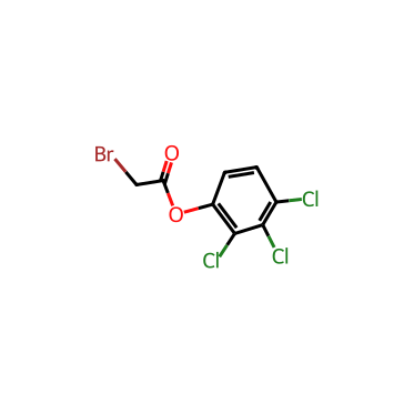 O=C(CBr)Oc1ccc(Cl)c(Cl)c1Cl